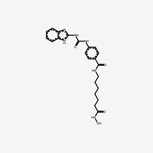 O=C(CCCCCCNC(=O)c1ccc(NC(=O)Nc2nc3ccccc3[nH]2)cc1)NO